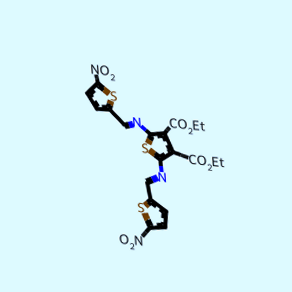 CCOC(=O)c1c(N=Cc2ccc([N+](=O)[O-])s2)sc(N=Cc2ccc([N+](=O)[O-])s2)c1C(=O)OCC